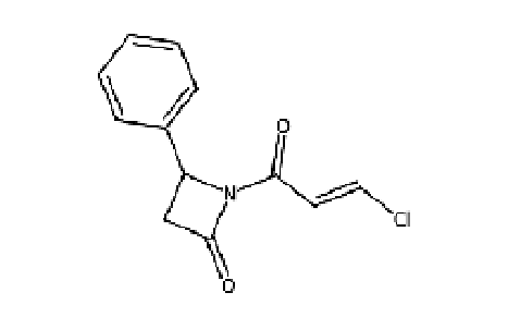 O=C(C=CCl)N1C(=O)CC1c1ccccc1